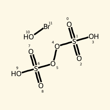 O=S(=O)(O)OOS(=O)(=O)O.OBr